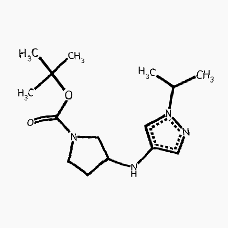 CC(C)n1cc(NC2CCN(C(=O)OC(C)(C)C)C2)cn1